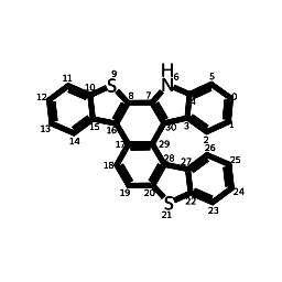 c1ccc2c(c1)[nH]c1c3sc4ccccc4c3c3ccc4sc5ccccc5c4c3c21